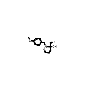 COc1ccc(CN2N=CC=CC2(O)C=O)cc1